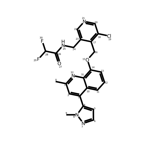 Cc1cc(-c2ccnn2C)c2cccc(OCc3c(Cl)cncc3CNC(=O)C(F)F)c2n1